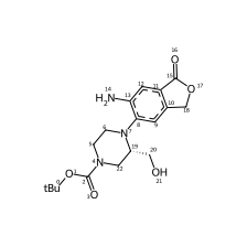 CC(C)(C)OC(=O)N1CCN(c2cc3c(cc2N)C(=O)OC3)[C@H](CO)C1